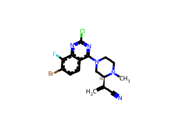 C=C(C#N)[C@H]1CN(c2nc(Cl)nc3c(F)c(Br)ccc23)CCN1C